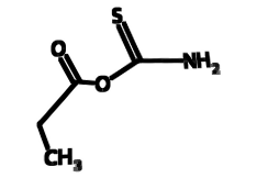 CCC(=O)OC(N)=S